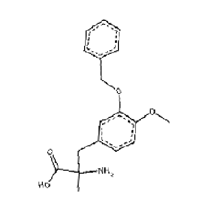 COc1ccc(CC(C)(N)C(=O)O)cc1OCc1ccccc1